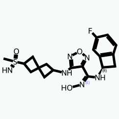 CS(=N)(=O)C1CC2(CC(Nc3nonc3/C(=N\O)N[C@@H]3Cc4ccc(F)cc43)C2)C1